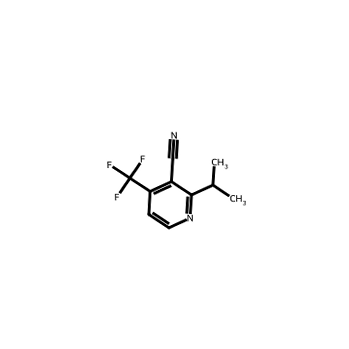 CC(C)c1nccc(C(F)(F)F)c1C#N